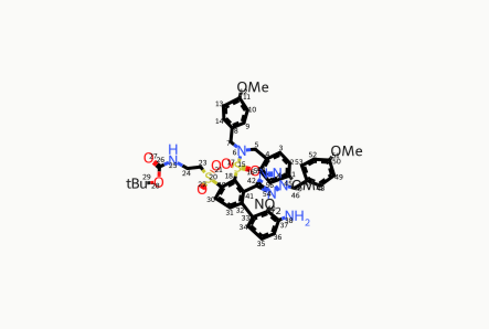 COc1ccc(CN(Cc2ccc(OC)cc2)S(=O)(=O)c2c(S(=O)(=O)CCNC(=O)OC(C)(C)C)ccc(-c3cccc(N)c3[N+](=O)[O-])c2-c2nnn(Cc3ccc(OC)cc3)n2)cc1